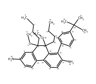 CCCCC1(OC)c2cc(N)ccc2-c2ccc(N)c(-c3ccc(C(C)(C)C)cc3)c2C1(CCCC)OC